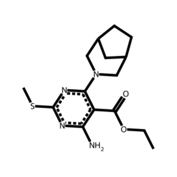 CCOC(=O)c1c(N)nc(SC)nc1N1CC2CCC(C2)C1